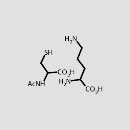 CC(=O)NC(CS)C(=O)O.NCCCC(N)C(=O)O